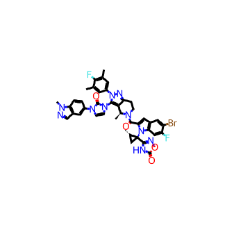 Cc1cc(-n2nc3c(c2-n2ccn(-c4ccc5c(cnn5C)c4)c2=O)[C@H](C)N(C(=O)c2cc4cc(Br)c(F)cc4n2[C@@]2(c4noc(=O)[nH]4)C[C@@H]2C)CC3)cc(C)c1F